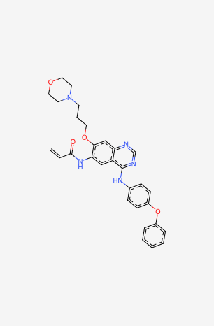 C=CC(=O)Nc1cc2c(Nc3ccc(Oc4ccccc4)cc3)ncnc2cc1OCCCN1CCOCC1